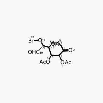 COC(=O)[C@@H](OC(C)=O)[C@@H](OC(C)=O)[C@H](OC(C)=O)[C@H](C=O)OBr